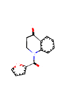 O=C1CCN(C(=O)c2ccco2)c2ccccc21